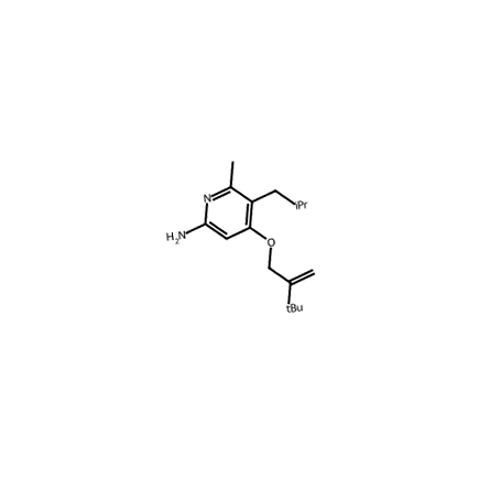 C=C(COc1cc(N)nc(C)c1CC(C)C)C(C)(C)C